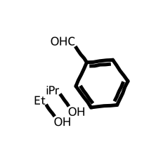 CC(C)O.CCO.O=Cc1ccccc1